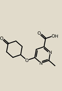 Cc1nc(OC2CCC(=O)CC2)cc(C(=O)O)n1